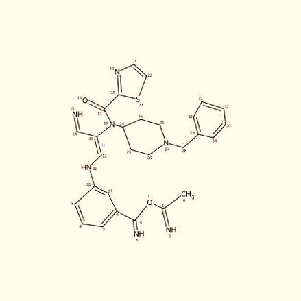 CC(=N)OC(=N)c1cccc(N/C=C(\C=N)N(C(=O)c2nccs2)C2CCN(Cc3ccccc3)CC2)c1